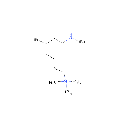 CC(C)C(CCCC[N+](C)(C)C)CCNC(C)(C)C